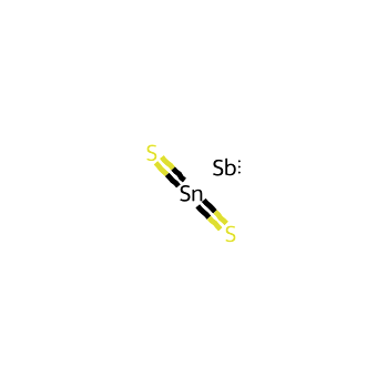 [S]=[Sn]=[S].[Sb]